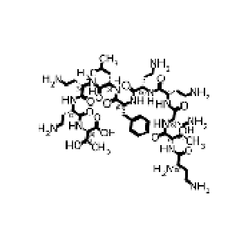 CC(C)C[C@H](NC(=O)[C@@H](Cc1ccccc1)NC(=O)[C@H](CCN)NC(=O)[C@H](CCN)NC(=O)[C@H](CN)NC(=O)[C@@H](NC(=O)[C@@H](N)CCN)[C@@H](C)O)C(=O)N[C@@H](CCN)C(=O)N[C@@H](CCN)C(=O)N[C@H](C(=O)O)[C@@H](C)O